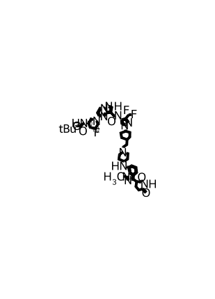 Cn1nc(C2CCC(=O)NC2=O)c2cccc(NC3CCN(CCC4CCC(n5cc(NC(=O)c6cnn7ccc(N8C[C@H](F)C[C@@H](NC(=O)OC(C)(C)C)C8)nc67)c(C(F)F)n5)CC4)CC3)c21